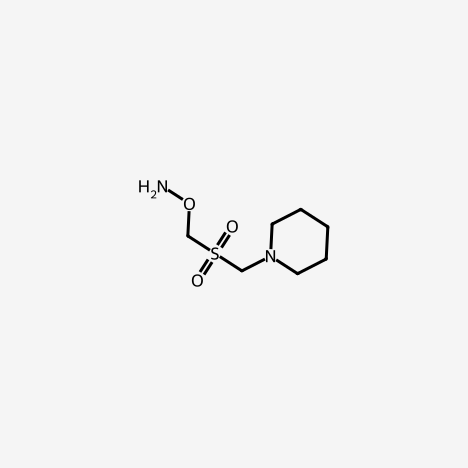 NOCS(=O)(=O)CN1CCCCC1